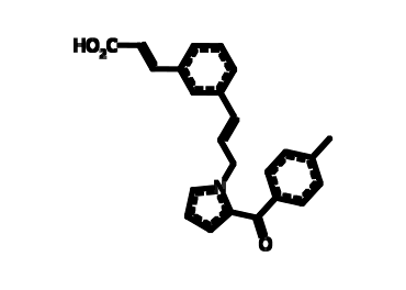 Cc1ccc(C(=O)c2cccn2C/C=C/c2cccc(/C=C/C(=O)O)c2)cc1